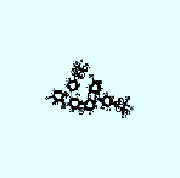 Cc1ccc(N(c2ccc(B3OC(C)(C)C(C)(C)O3)cc2)c2ccc3sc4ccc(N(c5ccc(B6OC(C)(C)C(C)(C)O6)cc5)c5ccc(C)cc5C)cc4c3c2)c(C)c1